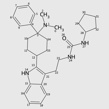 CN(C)C1(c2ccccc2)CCC(c2[nH]c3ccccc3c2CCNC(=O)NC2CCCC2)CC1